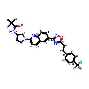 CC(C)(C)C(=O)NC1CCN(c2ccc3cc(-c4noc(CCc5ccc(C(F)(F)F)cc5)n4)ccc3n2)C1